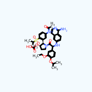 CCOc1cc(C(Nc2ccc3c(N)nccc3c2)C(=O)N2CC[C@H](OC(=O)O)[C@H]2c2cc(NC(C)=O)ccc2S(=O)(=O)C(C)C)ccc1OC(C)C